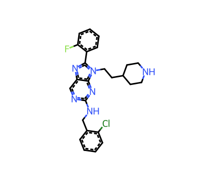 Fc1ccccc1-c1nc2cnc(NCc3ccccc3Cl)nc2n1CCC1CCNCC1